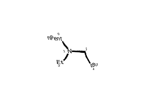 CCCCCN(CC)CC(C)(C)C